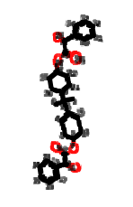 CC(C)(C1CCC(OC(=O)C(=O)c2ccccc2)CC1)C1CCC(OC(=O)C(=O)c2ccccc2)CC1